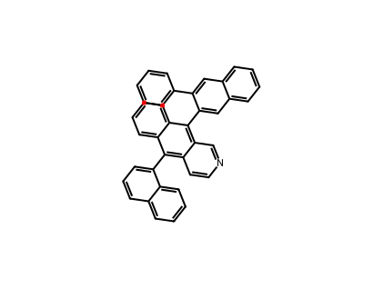 c1ccc(-c2cc3ccccc3cc2-c2c3ccccc3c(-c3cccc4ccccc34)c3ccncc23)cc1